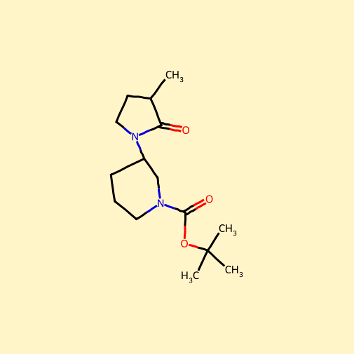 CC1CCN(C2CCCN(C(=O)OC(C)(C)C)C2)C1=O